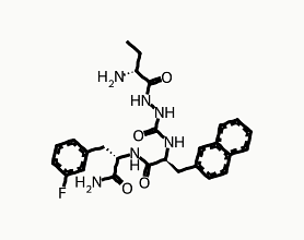 CC[C@@H](N)C(=O)NNC(=O)N[C@@H](Cc1ccc2ccccc2c1)C(=O)N[C@@H](Cc1cccc(F)c1)C(N)=O